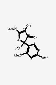 COc1ccc(C2(C)OC(NC(C)=O)=C(O)C2=O)c(OC)c1